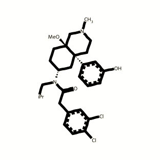 CO[C@]12CC[C@@H](N(CC(C)C)C(=O)Cc3ccc(Cl)c(Cl)c3)C[C@]1(c1cccc(O)c1)CCN(C)C2